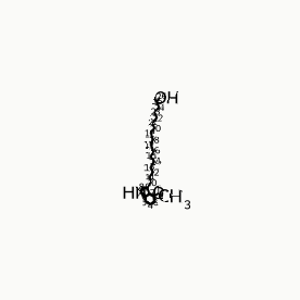 COc1cccc2[nH]cc(CCCCCCCCCCCCCCCCO)c12